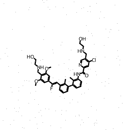 COc1cc(/C(F)=C/c2cccc(-c3cccc(NC(=O)c4cc(Cl)c(CNCCO)cn4)c3C)c2C)cc(OC)c1CNCCO